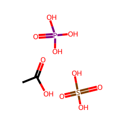 CC(=O)O.O=P(O)(O)O.O=S(=O)(O)O